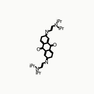 CC(C)N(C=CN=C1C=C2C(=O)C3=CCC(=NC=CN(C(C)C)C(C)C)C=C3C(=O)C2=CC1)C(C)C